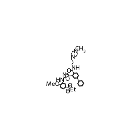 CCS(=O)(=O)c1ccc(OC)c(Nc2ncc(-c3cc(-c4ccccc4)ccc3C(=O)NCCCN3CCN(C)CC3)o2)c1